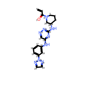 C=CC(=O)N1CCC[C@@H](Nc2nncc(Nc3cccc(-n4nccn4)c3)n2)C1